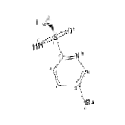 CC(C)(C)c1ccc([S@](C)(=N)=O)nc1